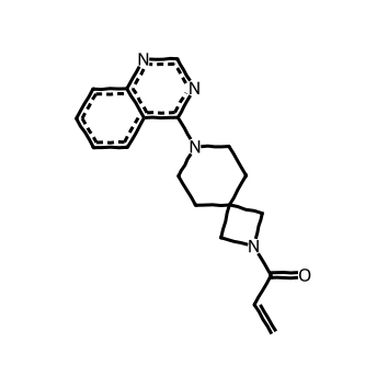 C=CC(=O)N1CC2(CCN(c3ncnc4ccccc34)CC2)C1